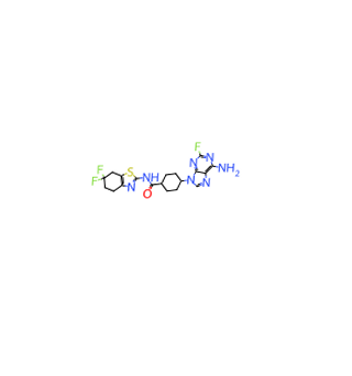 Nc1nc(F)nc2c1ncn2C1CCC(C(=O)Nc2nc3c(s2)CC(F)(F)CC3)CC1